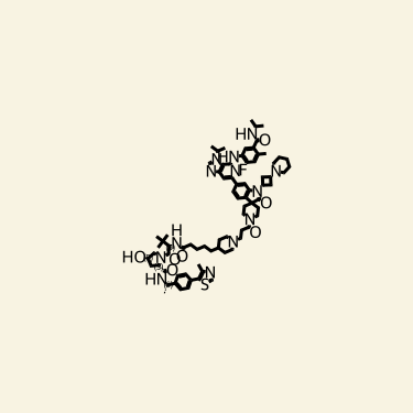 Cc1cc(F)c(Nc2nc(-c3ccc4c(c3)N(C3CC(N5CCCCC5)C3)C(=O)C43CCN(C(=O)CCN4CCC(CCCCC(=O)N[C@H](C(=O)N5C[C@H](O)C[C@H]5C(=O)N[C@@H](C)c5ccc(-c6scnc6C)cc5)C(C)(C)C)CC4)CC3)cc3ncn(C(C)C)c23)cc1C(=O)NC(C)C